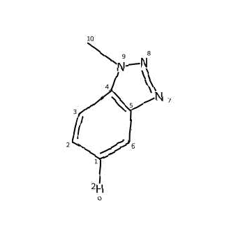 [2H]c1ccc2c(c1)nnn2C